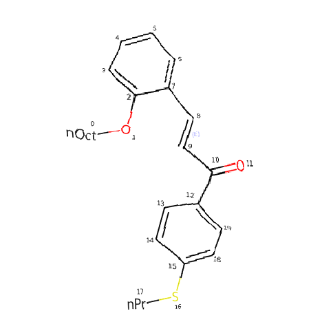 CCCCCCCCOc1ccccc1/C=C/C(=O)c1ccc(SCCC)cc1